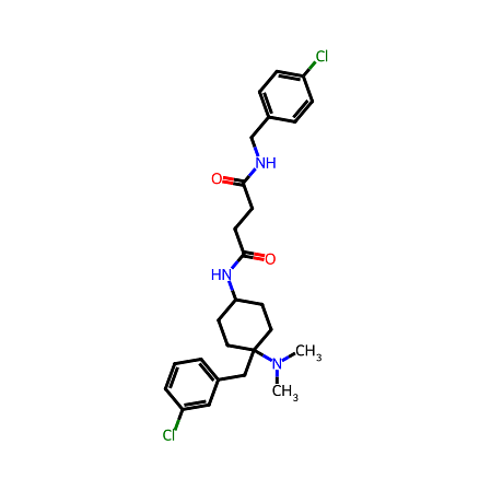 CN(C)C1(Cc2cccc(Cl)c2)CCC(NC(=O)CCC(=O)NCc2ccc(Cl)cc2)CC1